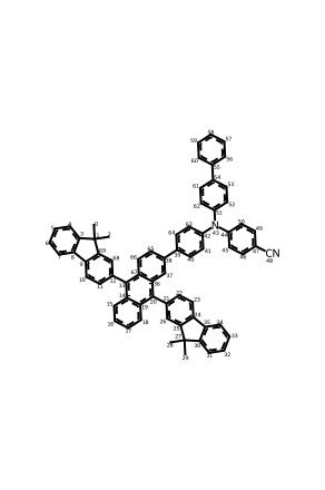 CC1(C)c2ccccc2-c2ccc(-c3c4ccccc4c(-c4ccc5c(c4)C(C)(C)c4ccccc4-5)c4cc(-c5ccc(N(c6ccc(C#N)cc6)c6ccc(-c7ccccc7)cc6)cc5)ccc34)cc21